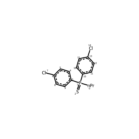 CCCP(=S)(c1ccc(Cl)cc1)c1ccc(Cl)cc1